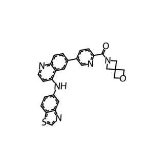 O=C(c1ccc(-c2ccc3nccc(Nc4ccc5scnc5c4)c3c2)cn1)N1CC2(COC2)C1